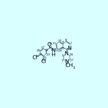 CN1CCN(c2nccc3ccc(NC(=O)c4ccc(Cl)c(Cl)c4)cc23)CC1